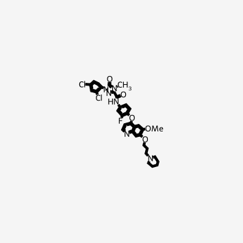 COc1cc2c(Oc3ccc(NC(=O)c4nn(-c5ccc(Cl)cc5Cl)c(=O)n4C)cc3F)ccnc2cc1OCCCN1CCCCC1